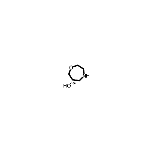 O[C@H]1CNCCOC1